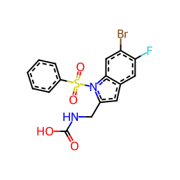 O=C(O)NCc1cc2cc(F)c(Br)cc2n1S(=O)(=O)c1ccccc1